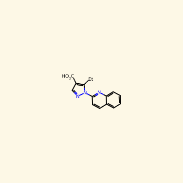 CCc1c(C(=O)O)cnn1-c1ccc2ccccc2n1